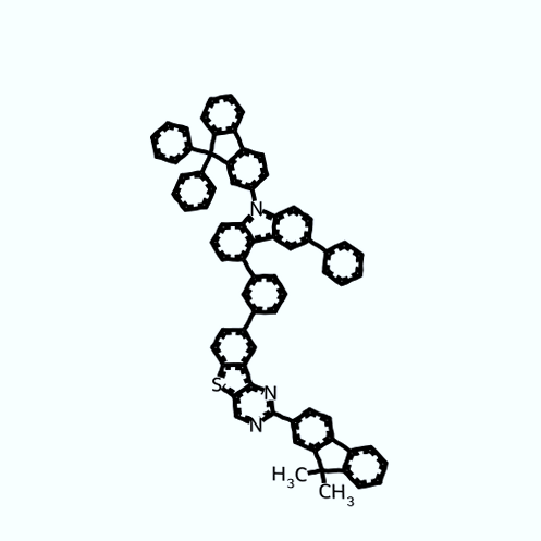 CC1(C)c2ccccc2-c2ccc(-c3ncc4sc5ccc(-c6cccc(-c7cccc8c7c7cc(-c9ccccc9)ccc7n8-c7ccc8c(c7)C(c7ccccc7)(c7ccccc7)c7ccccc7-8)c6)cc5c4n3)cc21